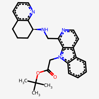 CC(C)(C)OC(=O)Cn1c2ccccc2c2ccnc(CN[C@H]3CCCc4cccnc43)c21